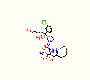 CNCC(O)C(CC1CCCCC1)NC(=O)N1CCCC(C(O)(CCCCOC)c2cccc(Cl)c2F)C1